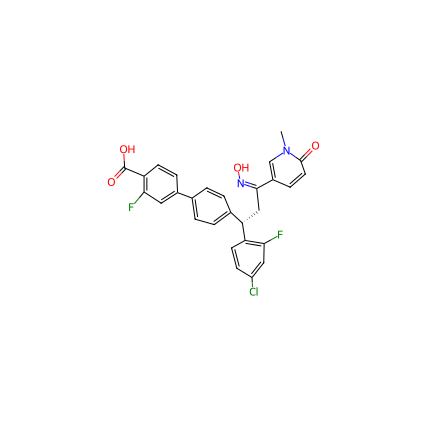 Cn1cc(C(C[C@@H](c2ccc(-c3ccc(C(=O)O)c(F)c3)cc2)c2ccc(Cl)cc2F)=NO)ccc1=O